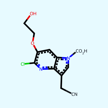 N#CCc1cn(C(=O)O)c2cc(OCCO)c(Cl)nc12